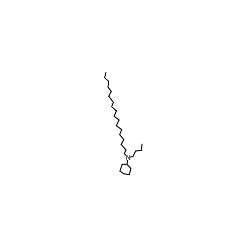 CCCCCCCCCCCCCCCCCCN(CCCC)C1CCCCC1